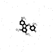 Cc1cc(F)ccc1N=C1c2cc([N+](=O)[O-])ccc2-c2c1cc([N+](=O)[O-])cc2[N+](=O)[O-]